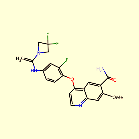 C=C(Nc1ccc(Oc2ccnc3cc(OC)c(C(N)=O)cc23)c(F)c1)N1CC(F)(F)C1